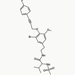 COc1cc(CCNC(=O)C(NS(C)(=O)=O)C(C)C)cc(Br)c1OCC#Cc1ccc(F)cc1